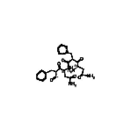 NC(=O)C[C@H](NC(=O)C(Cc1ccccc1)C(=O)[C@@H](N)CC(N)=O)C(=O)C([C]=O)Cc1ccccc1